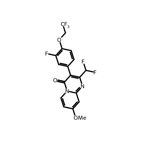 COc1ccn2c(=O)c(-c3ccc(OCC(F)(F)F)c(F)c3)c(C(F)F)nc2c1